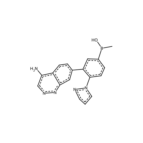 CB(O)c1ccc(-n2cccn2)c(-c2ccc3c(N)cnnc3c2)c1